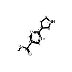 COC(=O)c1cnc(C2CCNC2)nc1